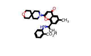 Cc1cc(C(C)Nc2ccccc2C(=O)O)c2oc(N3CCC4(CCOCC4)CC3)cc(=O)c2c1